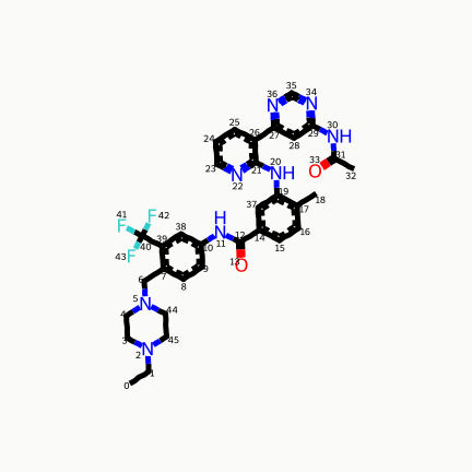 CCN1CCN(Cc2ccc(NC(=O)c3ccc(C)c(Nc4ncccc4-c4cc(NC(C)=O)ncn4)c3)cc2C(F)(F)F)CC1